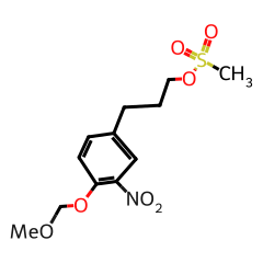 COCOc1ccc(CCCOS(C)(=O)=O)cc1[N+](=O)[O-]